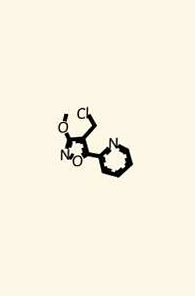 COc1noc(-c2ccccn2)c1CCl